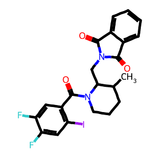 CC1CCCN(C(=O)c2cc(F)c(F)cc2I)C1CN1C(=O)c2ccccc2C1=O